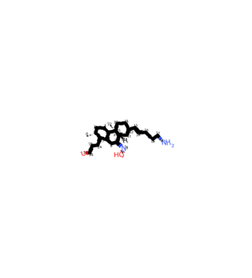 C[C@@H]1CCC2C(C/C(=N\O)[C@H]3CC(C=CCCCN)CC[C@]23C)C1CCC=O